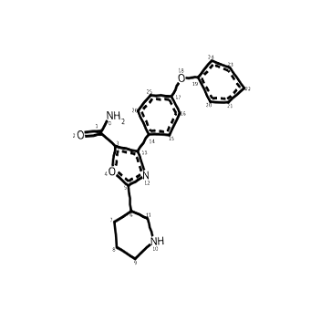 NC(=O)c1oc(C2CCCNC2)nc1-c1ccc(Oc2ccccc2)cc1